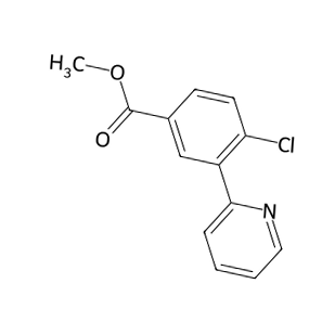 COC(=O)c1ccc(Cl)c(-c2ccccn2)c1